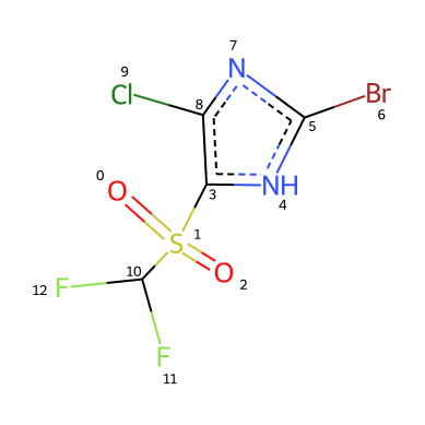 O=S(=O)(c1[nH]c(Br)nc1Cl)C(F)F